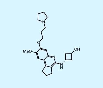 COc1cc2c3c(c(N[C@H]4C[C@H](O)C4)nc2cc1OCCCN1CCCC1)CCC3